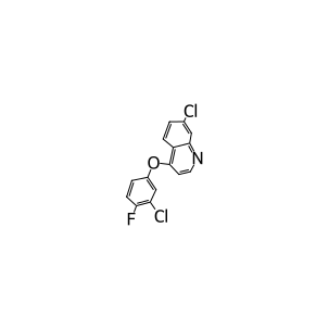 Fc1ccc(Oc2ccnc3cc(Cl)ccc23)cc1Cl